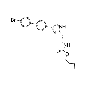 O=C(NCCc1nc(-c2ccc(-c3ccc(Br)cc3)cc2)c[nH]1)OCC1CCC1